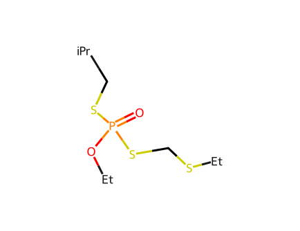 CCOP(=O)(SCSCC)SCC(C)C